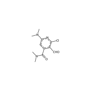 CN(C)C(=O)c1cc(N(C)C)nc(Cl)c1C=O